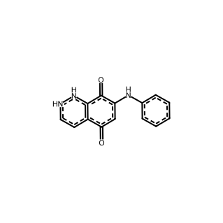 O=c1cc(Nc2ccccc2)c(=O)c2[nH][nH]ccc1=2